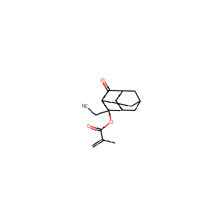 C=C(C)C(=O)OC1(CC#N)C2CC3CC(C2)C(=O)C1C3